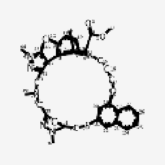 COC(=O)c1c(C)c2c3c(Cl)ccc2n1CCCOc1cc(cc2ccccc12)SCC1CC(=NN1C)CN(C)Cc1nn(C)c(C)c1-3